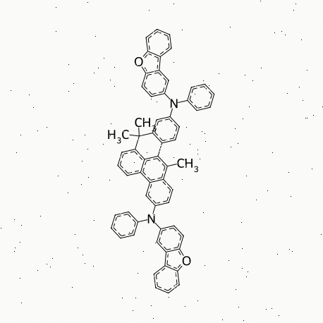 Cc1c2c3c(cccc3c3cc(N(c4ccccc4)c4ccc5oc6ccccc6c5c4)ccc13)C(C)(C)c1cc(N(c3ccccc3)c3ccc4oc5ccccc5c4c3)ccc1-2